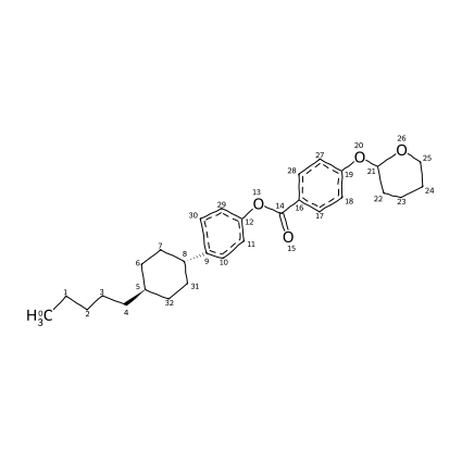 CCCCC[C@H]1CC[C@H](c2ccc(OC(=O)c3ccc(OC4CCCCO4)cc3)cc2)CC1